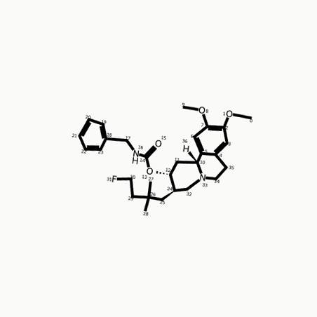 COc1cc2c(cc1OC)[C@H]1C[C@@H](OC(=O)NCc3ccccc3)[C@H](CC(C)(C)CCF)CN1CC2